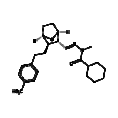 CN(N=C[C@@H]1[C@@H](CCc2ccc(C(=O)O)cc2)[C@H]2CC[C@@H]1O2)C(=O)C1CCCCC1